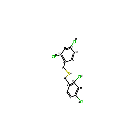 Clc1ccc(CSCc2ccc(Cl)cc2Cl)c(Cl)c1